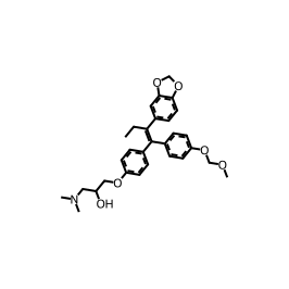 CCC(=C(c1ccc(OCOC)cc1)c1ccc(OCC(O)CN(C)C)cc1)c1ccc2c(c1)OCO2